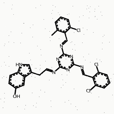 Cc1cccc(Cl)c1C=Nc1nc(N=CCc2c[nH]c3ccc(O)cc23)nc(N=Cc2c(Cl)cccc2Cl)n1